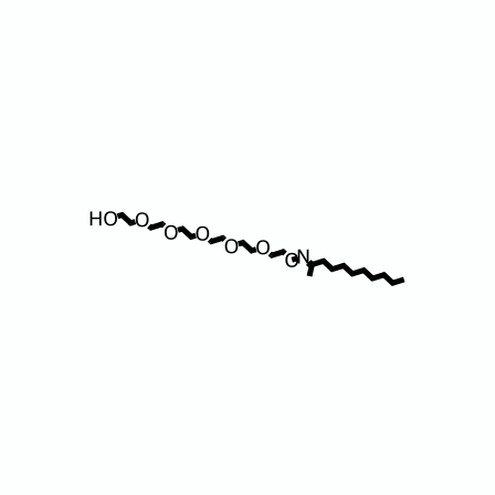 CCCCCCCCC/C(C)=N/OCCOCCOCCOCCOCCOCCO